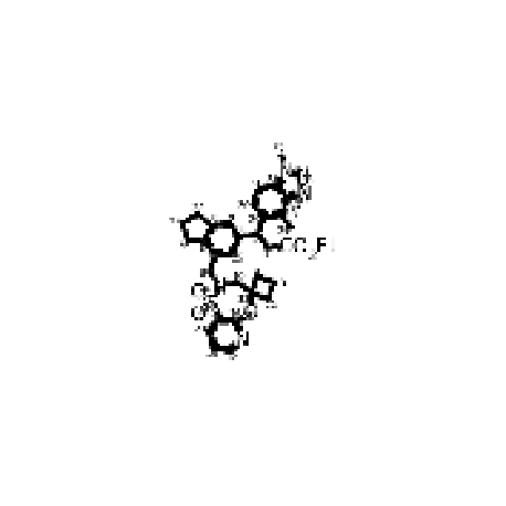 CCOC(=O)CC(c1cc2c(c(CN3CC4(CCC4)Oc4ncccc4S3(=O)=O)c1)CCC2)c1ccc2c(nnn2C)c1C